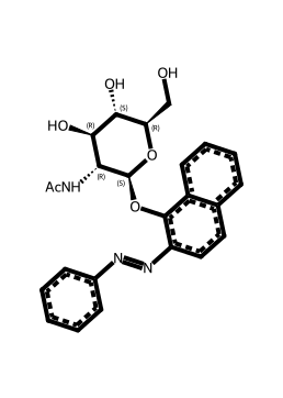 CC(=O)N[C@H]1[C@H](Oc2c(N=Nc3ccccc3)ccc3ccccc23)O[C@H](CO)[C@@H](O)[C@@H]1O